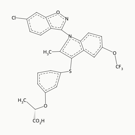 Cc1c(Sc2cccc(O[C@@H](C)C(=O)O)c2)c2cc(OC(F)(F)F)ccc2n1-c1noc2cc(Cl)ccc12